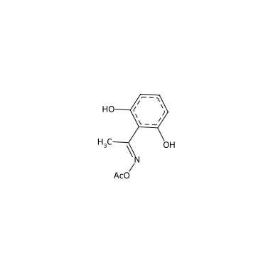 CC(=O)ON=C(C)c1c(O)cccc1O